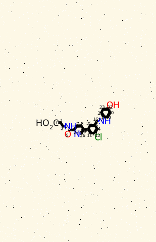 O=C(O)CCNC(=O)c1ccc(-c2cc(Cl)cc(CNc3ccc(O)cc3)c2)cn1